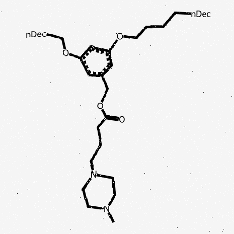 CCCCCCCCCCCCCCOc1cc(COC(=O)CCCN2CCN(C)CC2)cc(OCCCCCCCCCCC)c1